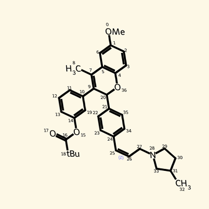 COc1ccc2c(c1)C(C)=C(c1cccc(OC(=O)C(C)(C)C)c1)C(c1ccc(/C=C\CN3CCC(C)C3)cc1)O2